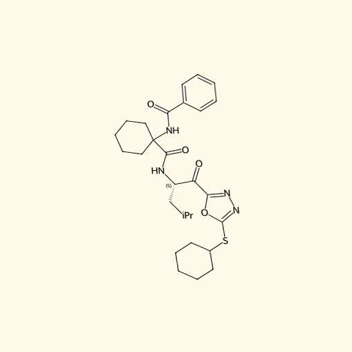 CC(C)C[C@H](NC(=O)C1(NC(=O)c2ccccc2)CCCCC1)C(=O)c1nnc(SC2CCCCC2)o1